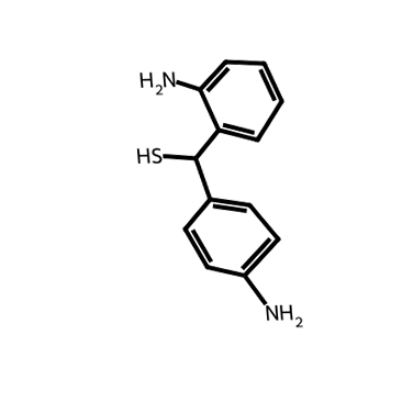 Nc1ccc(C(S)c2ccccc2N)cc1